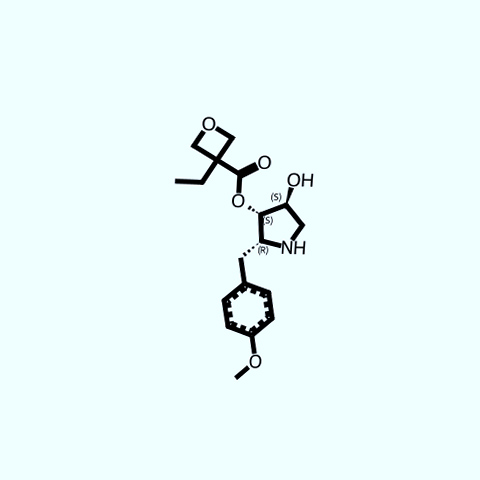 CCC1(C(=O)O[C@@H]2[C@@H](O)CN[C@@H]2Cc2ccc(OC)cc2)COC1